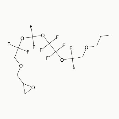 CCCOCC(F)(F)OC(F)(F)C(F)(F)OC(F)(F)OC(F)(F)COCC1CO1